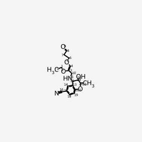 CCO/C(=C\OCCC=O)CNC1c2cc(C#N)ccc2OC(C)C1O